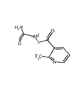 NC(=O)NSC(=O)c1cccnc1C(F)(F)F